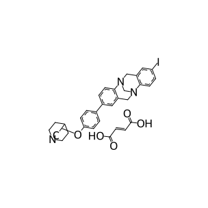 Ic1ccc2c(c1)CN1CN2Cc2cc(-c3ccc(OC4CN5CCC4CC5)cc3)ccc21.O=C(O)/C=C/C(=O)O